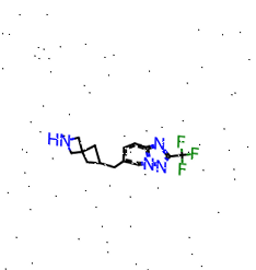 FC(F)(F)c1nc2ccc(CC3CC4(CNC4)C3)cn2n1